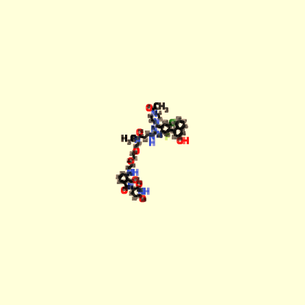 CC(=O)N1CCN(c2nc(NCCC(=O)N(C)CCOCCOCCNc3cccc4c3C(=O)N(C3CCC(=O)NC3=O)C4=O)nc3c(F)c(-c4cc(O)cc5ccccc45)c(Cl)cc23)CC1